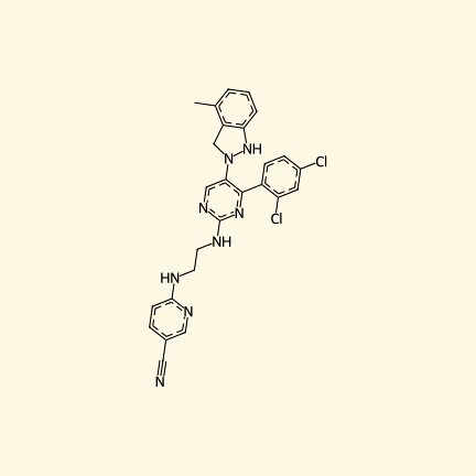 Cc1cccc2c1CN(c1cnc(NCCNc3ccc(C#N)cn3)nc1-c1ccc(Cl)cc1Cl)N2